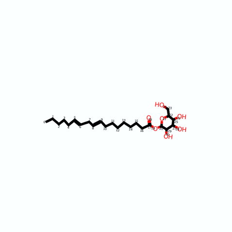 CCCCCC=CCC=CCCCCCCCC(=O)OC1OC(CO)C(O)C(O)C1O